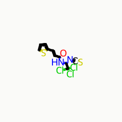 O=C(C=Cc1cccs1)NC(N=C=S)C(Cl)(Cl)Cl